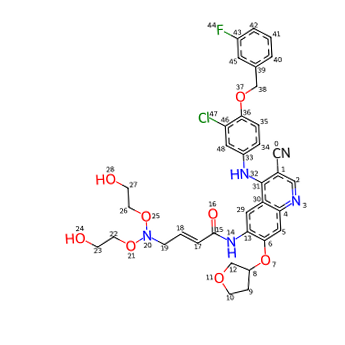 N#Cc1cnc2cc(OC3CCOC3)c(NC(=O)C=CCN(OCCO)OCCO)cc2c1Nc1ccc(OCc2cccc(F)c2)c(Cl)c1